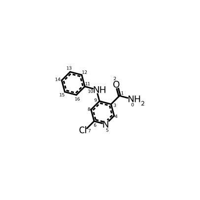 NC(=O)c1cnc(Cl)cc1Nc1ccccc1